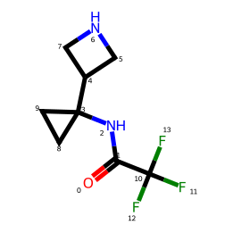 O=C(NC1(C2CNC2)CC1)C(F)(F)F